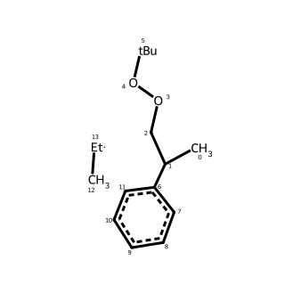 CC(COOC(C)(C)C)c1ccccc1.C[CH]C